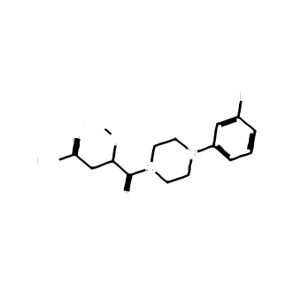 C=C(C)CC(OC)C(=O)N1CCN(c2cccc(F)c2)CC1